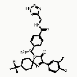 CCC[C@H](c1ccc(C(=O)NCc2nn[nH]n2)cc1)N1C(=O)C(c2ccc(Cl)c(F)c2)=NC12CCC(C(C)(C)CC)CC2